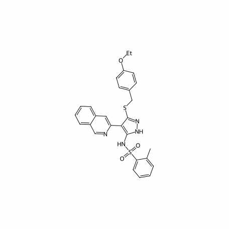 CCOc1ccc(CSc2n[nH]c(NS(=O)(=O)c3ccccc3C)c2-c2cc3ccccc3cn2)cc1